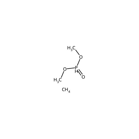 C.CO[PH](=O)OC